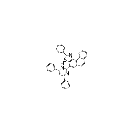 C1=C(c2ccccc2)NC(c2cc3ccc4ccccc4c3c3nc(-c4ccccc4)sc23)N=C1c1ccccc1